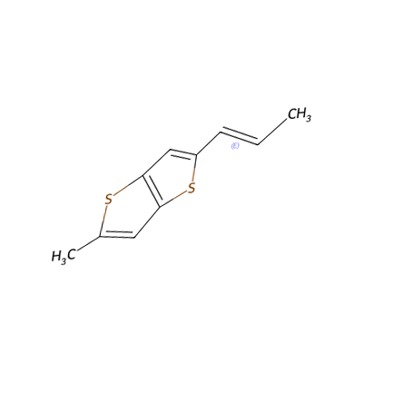 C/C=C/c1cc2sc(C)cc2s1